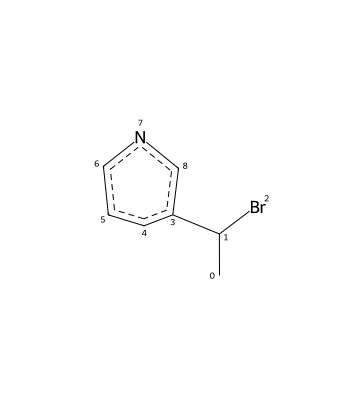 CC(Br)c1cccnc1